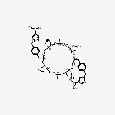 CCN(CC)c1cnn(Cc2ccc(C[C@@H]3CN(C)[C@@H](CC(C)C)CO[C@H](C)CN(C)[C@@H](CC(C)C)CO[C@H](Cc4ccc(Cn5cc(N(CC)CC)cn5)cc4)CN(C)[C@@H](CC(C)C)CO[C@H](C)CN(C)[C@@H](CC(C)C)CO3)cc2)c1